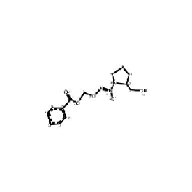 O=C(OCO/N=[N+](\[O-])N1CCCC1CO)c1ccccc1